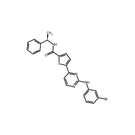 C[C@@H](NC(=O)c1ccc(-c2ccnc(Nc3cccc(Br)c3)n2)s1)c1ccccc1